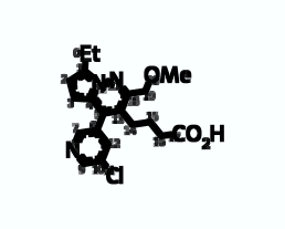 CCc1ccc2c(-c3cncc(Cl)c3)c(CCCC(=O)O)c(COC)nn12